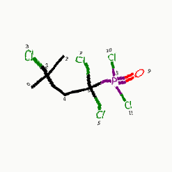 CC(C)(Cl)CC(Cl)(Cl)P(=O)(Cl)Cl